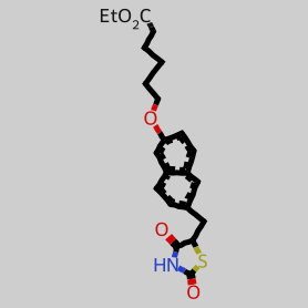 CCOC(=O)CCCCCOc1ccc2cc(CC3SC(=O)NC3=O)ccc2c1